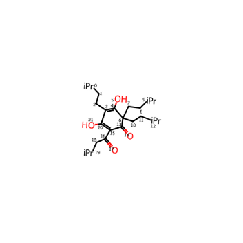 CC(C)CCC1=C(O)C(CCC(C)C)(CCC(C)C)C(=O)C(C(=O)CC(C)C)=C1O